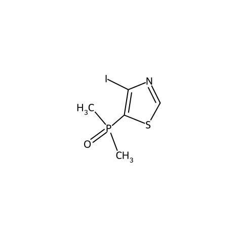 CP(C)(=O)c1scnc1I